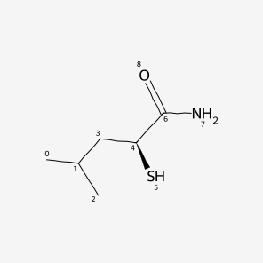 CC(C)C[C@H](S)C(N)=O